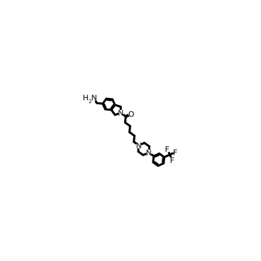 NCc1ccc2c(c1)CN(C(=O)CCCCCN1CCN(c3cccc(C(F)(F)F)c3)CC1)C2